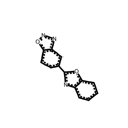 [c]1c(-c2nc3ccccc3o2)ccc2onnc12